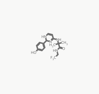 CC(C)(NC1=NC(c2ccc(O)cc2)NC=C1)C(=O)NCC(F)(F)F